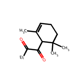 CCC(=O)C(=O)C1C(C)=CCCC1(C)C